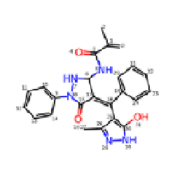 C=C(C)C(=O)NC1NN(c2ccccc2)C(=O)C1=C(c1ccccc1)c1c(C)n[nH]c1O